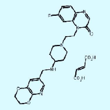 O=C(O)C=CC(=O)O.O=c1cnc2ccc(F)cc2n1CCN1CCC(NCc2cnc3c(c2)OCCO3)CC1